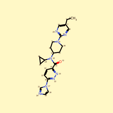 CCc1cnc(N2CCC(N(C(=O)c3ccc(-n4ccnc4)nn3)C3CC3)CC2)nc1